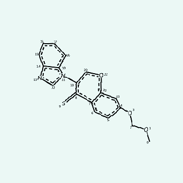 COCOc1ccc2c(=S)c(-n3cnc4ccccc43)coc2c1